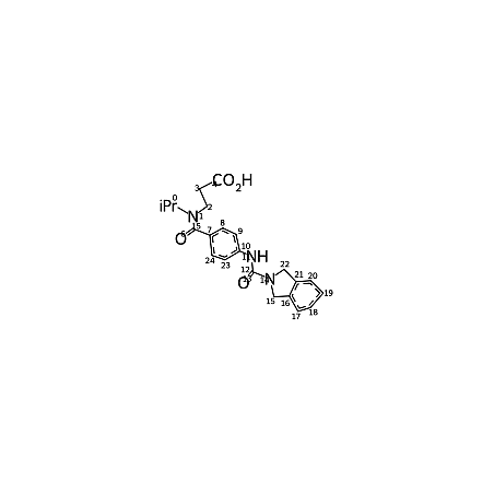 CC(C)N(CCC(=O)O)C(=O)c1ccc(NC(=O)N2Cc3ccccc3C2)cc1